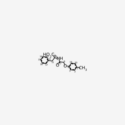 Cc1ccc(OCC(=O)NC(Cc2ccccc2)C(=O)O)cc1